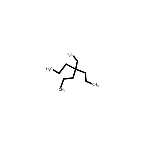 [CH2]CC(CCC)(CCC)CCC